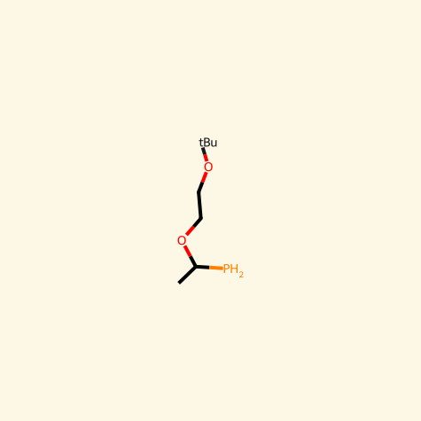 CC(P)OCCOC(C)(C)C